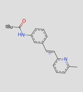 Cc1cccc(/C=C/c2cccc(NC(=O)C(C)(C)C)c2)n1